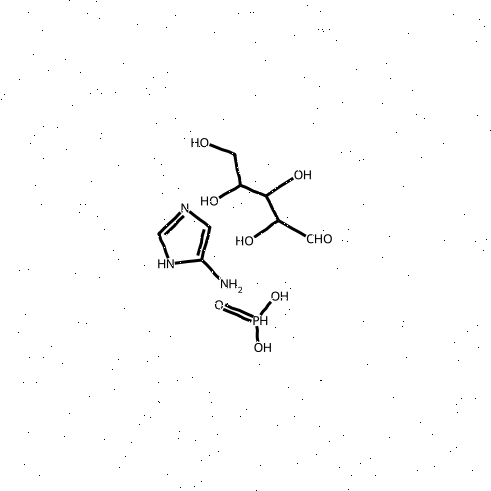 Nc1cnc[nH]1.O=CC(O)C(O)C(O)CO.O=[PH](O)O